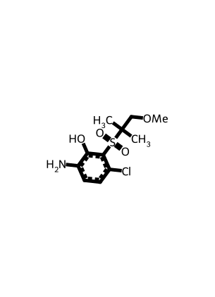 COCC(C)(C)S(=O)(=O)c1c(Cl)ccc(N)c1O